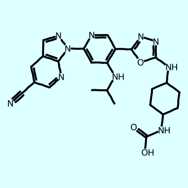 CC(C)Nc1cc(-n2ncc3cc(C#N)cnc32)ncc1-c1nnc(NC2CCC(NC(=O)O)CC2)o1